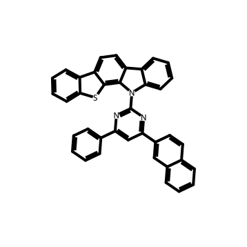 c1ccc(-c2cc(-c3ccc4ccccc4c3)nc(-n3c4ccccc4c4ccc5c6ccccc6sc5c43)n2)cc1